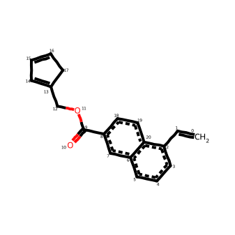 C=Cc1cccc2cc(C(=O)OCC3=CC=CC3)ccc12